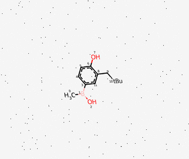 CB(O)c1ccc(O)c(CC(C)(C)C)c1